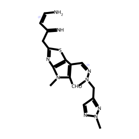 CN(Cc1cnn(C)n1)/N=C\c1c(C=O)n(C)c2nc(CC(=N)/C=C\N)sc12